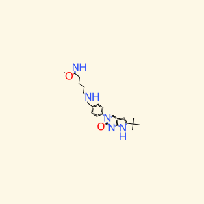 COC(=N)CCCCNCc1ccc(-n2cc3cc(C(C)(C)C)[nH]c3nc2=O)cc1